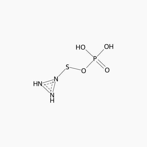 O=P(O)(O)OSn1[nH][nH]1